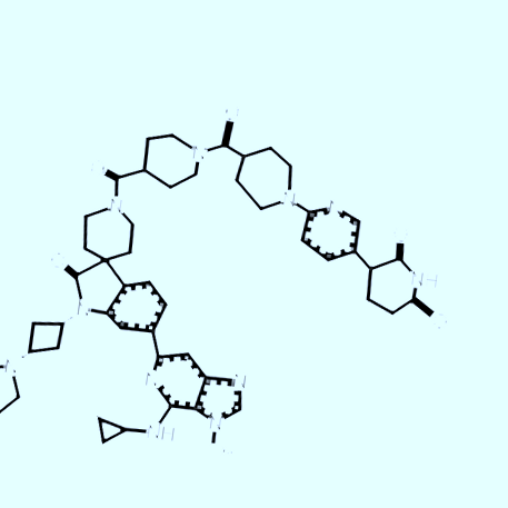 CC(C)n1cnc2cc(-c3ccc4c(c3)N([C@H]3C[C@@H](N5CCCCC5)C3)C(=O)C43CCN(C(=O)C4CCN(C(=O)C5CCN(c6ccc(C7CCC(=O)NC7=O)cn6)CC5)CC4)CC3)nc(NC3CC3)c21